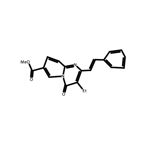 CCc1c(C=Cc2ccccc2)nc2ccc(C(=O)OC)cn2c1=O